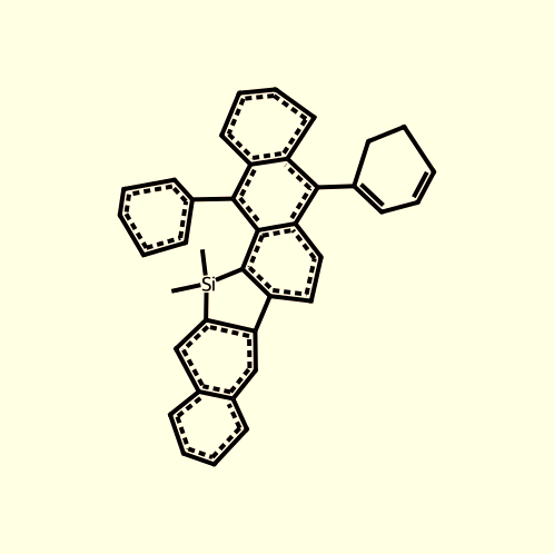 C[Si]1(C)c2cc3ccccc3cc2-c2ccc3c(C4=CC=CCC4)c4ccccc4c(-c4ccccc4)c3c21